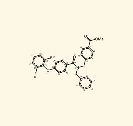 COC(=O)c1ccc(CN(Cc2ccccc2)C(=O)c2ccc(Oc3c(F)cccc3F)cc2)cc1